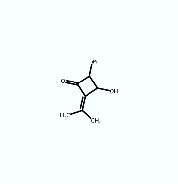 CC(C)=C1C(=O)C(C(C)C)C1O